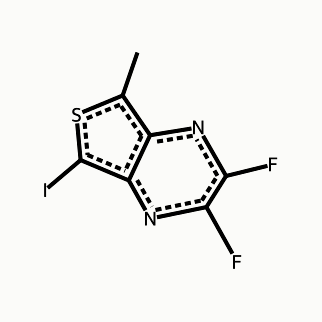 Cc1sc(I)c2nc(F)c(F)nc12